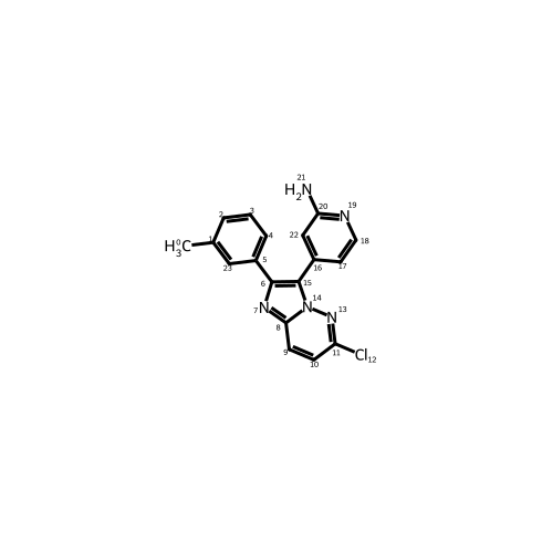 Cc1cccc(-c2nc3ccc(Cl)nn3c2-c2ccnc(N)c2)c1